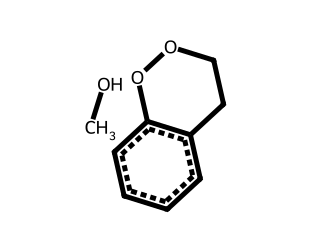 CO.c1ccc2c(c1)CCOO2